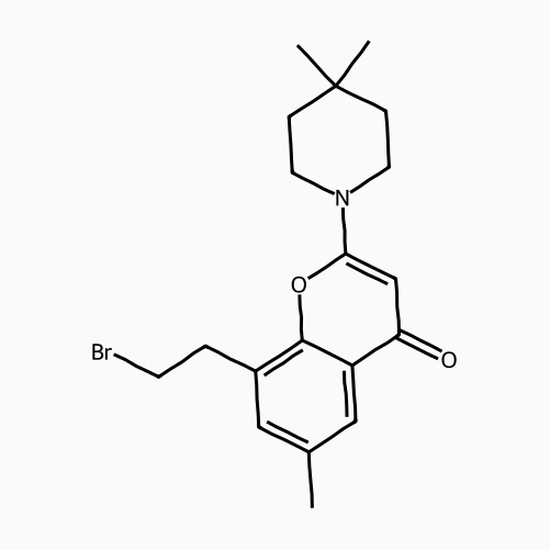 Cc1cc(CCBr)c2oc(N3CCC(C)(C)CC3)cc(=O)c2c1